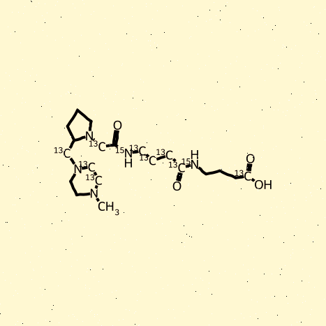 CN1CCN([13CH2]C2CCCN2[13CH2]C(=O)[15NH][13CH2][13CH2][13CH2][13C](=O)[15NH]CCC[13C](=O)O)[13CH2][13CH2]1